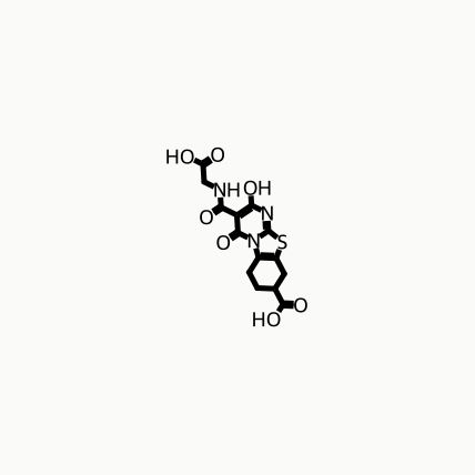 O=C(O)CNC(=O)c1c(O)nc2sc3c(n2c1=O)CCC(C(=O)O)C3